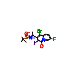 C/C(=N\[S+]([O-])C(C)(C)C)c1c(I)c(=O)n2cc(F)ccc2c1Br